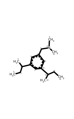 CCC(C)c1cc(CN(C)C)cc(C(C)CC)c1